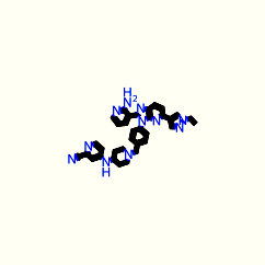 CCn1cc(-c2ccc3nc(-c4cccnc4N)n(-c4ccc(CN5CCC(Nc6ccnc(C#N)c6)CC5)cc4)c3n2)cn1